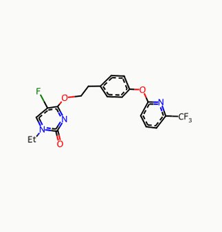 CCn1cc(F)c(OCCc2ccc(Oc3cccc(C(F)(F)F)n3)cc2)nc1=O